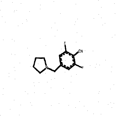 N#Cc1c(F)cc(CN2CCCC2)cc1F